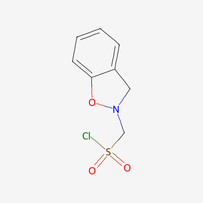 O=S(=O)(Cl)CN1Cc2ccccc2O1